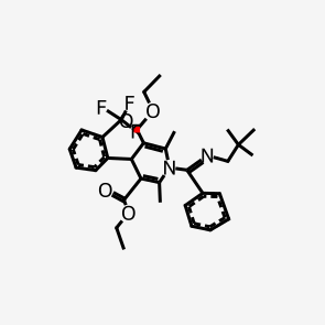 CCOC(=O)C1=C(C)N(C(=NCC(C)(C)C)c2ccccc2)C(C)=C(C(=O)OCC)C1c1ccccc1C(F)(F)F